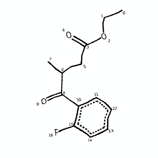 CCOC(=O)CC(C)C(=O)c1ccccc1F